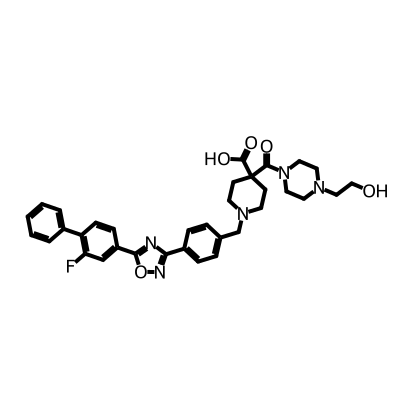 O=C(O)C1(C(=O)N2CCN(CCO)CC2)CCN(Cc2ccc(-c3noc(-c4ccc(-c5ccccc5)c(F)c4)n3)cc2)CC1